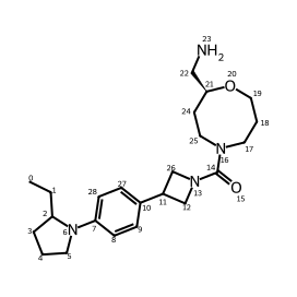 CCC1CCCN1c1ccc(C2CN(C(=O)N3CCCO[C@H](CN)CC3)C2)cc1